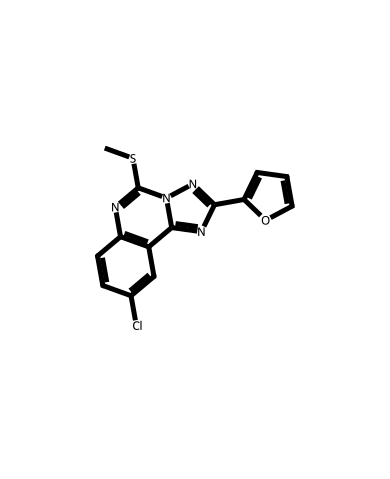 CSc1nc2ccc(Cl)cc2c2nc(-c3ccco3)nn12